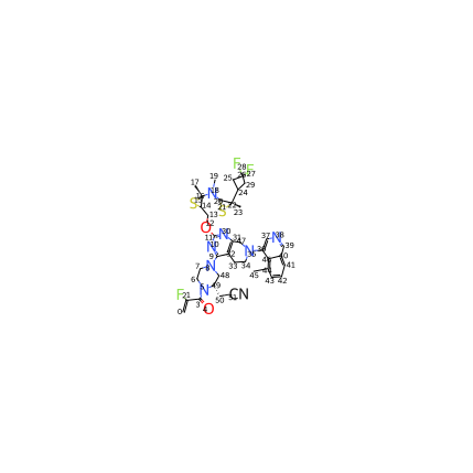 C=C(F)C(=O)N1CCN(c2nc(OCC3S[C@]3(C)N(C)C3S[C@@]3(C)C3CC(F)(F)C3)nc3c2CCN(c2cncc4cccc(C)c24)C3)C[C@@H]1CC#N